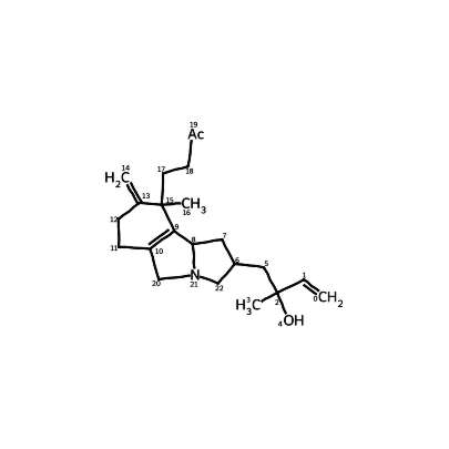 C=CC(C)(O)CC1CC2C3=C(CCC(=C)C3(C)CCC(C)=O)CN2C1